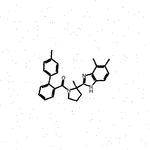 Cc1ccc(-c2ccccc2C(=O)N2CCCC2(C)c2nc3c(C)c(C)ccc3[nH]2)cc1